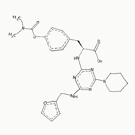 CN(C)C(=O)Oc1ccc(C[C@H](Nc2nc(NCc3ccco3)nc(N3CCCCC3)n2)C(=O)O)cc1